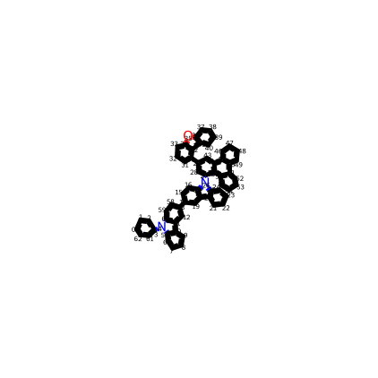 c1ccc(-n2c3ccccc3c3cc(-c4ccc5c(c4)c4ccccc4n5-c4cc(-c5cccc6oc7ccccc7c56)cc5c6ccccc6c6ccccc6c45)ccc32)cc1